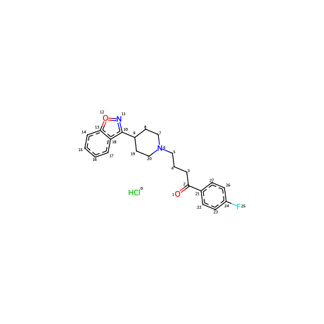 Cl.O=C(CCCN1CCC(c2noc3ccccc23)CC1)c1ccc(F)cc1